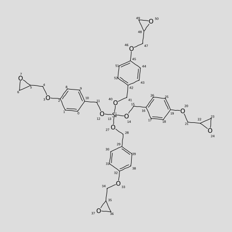 c1cc(OCC2CO2)ccc1CO[Si](OCc1ccc(OCC2CO2)cc1)(OCc1ccc(OCC2CO2)cc1)OCc1ccc(OCC2CO2)cc1